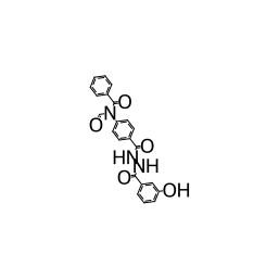 O=CN(C(=O)c1ccccc1)c1ccc(C(=O)NNC(=O)c2cccc(O)c2)cc1